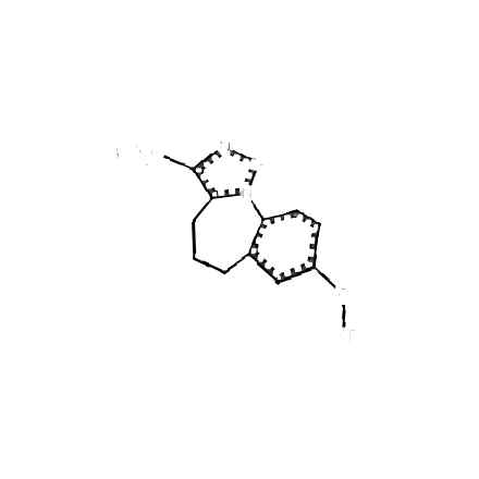 O=C(O)c1nnn2c1CCCc1cc(OC(F)(F)F)ccc1-2